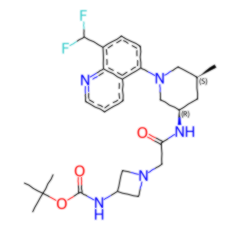 C[C@H]1C[C@@H](NC(=O)CN2CC(NC(=O)OC(C)(C)C)C2)CN(c2ccc(C(F)F)c3ncccc23)C1